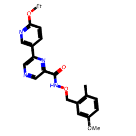 CCOc1ccc(-c2cncc(C(=O)NOCc3cc(OC)ccc3C)n2)cn1